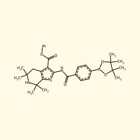 CC(C)OC(=O)c1c(NC(=O)c2ccc(B3OC(C)(C)C(C)(C)O3)cc2)sc2c1CC(C)(C)NC2(C)C